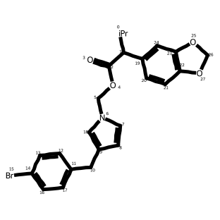 CC(C)C(C(=O)OCn1ccc(Cc2ccc(Br)cc2)c1)c1ccc2c(c1)OCO2